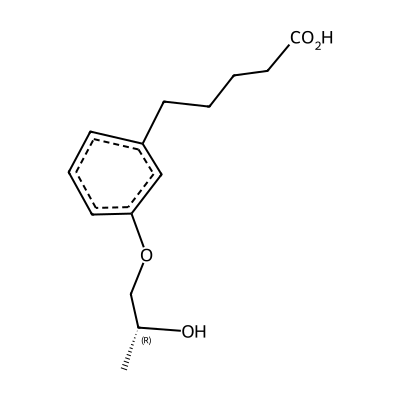 C[C@@H](O)COc1cccc(CCCCC(=O)O)c1